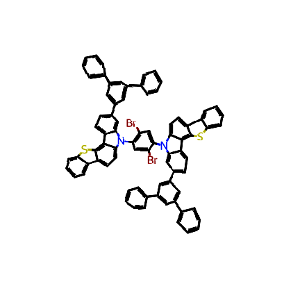 Brc1cc(-n2c3cc(-c4cc(-c5ccccc5)cc(-c5ccccc5)c4)ccc3c3c4sc5ccccc5c4ccc32)c(Br)cc1-n1c2cc(-c3cc(-c4ccccc4)cc(-c4ccccc4)c3)ccc2c2c3sc4ccccc4c3ccc21